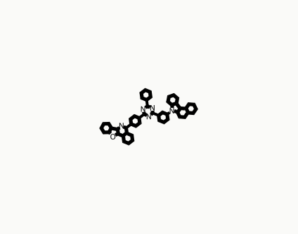 c1ccc(-c2nc(-c3ccc(-c4nc5c6ccccc6oc5c5ccccc45)cc3)nc(-c3cccc(-n4c5ccccc5c5c6ccccc6ccc54)c3)n2)cc1